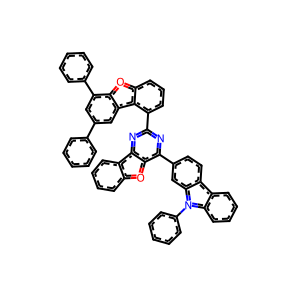 c1ccc(-c2cc(-c3ccccc3)c3oc4cccc(-c5nc(-c6ccc7c8ccccc8n(-c8ccccc8)c7c6)c6oc7ccccc7c6n5)c4c3c2)cc1